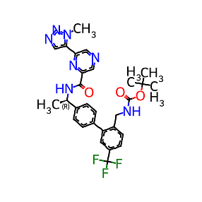 C[C@@H](NC(=O)c1cncc(-c2cnnn2C)n1)c1ccc(-c2cc(C(F)(F)F)ccc2CNC(=O)OC(C)(C)C)cc1